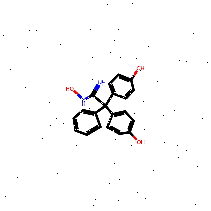 N=C(NO)C(c1ccccc1)(c1ccc(O)cc1)c1ccc(O)cc1